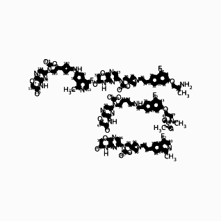 CC(N)COc1cc(F)c2c(c1)CC(CCN1CC3(C1)CN(c1cnc4c(n1)NC(=O)CO4)C(=O)O3)C2.CN(CCOc1cc(F)c2c(c1)CC(CNCCC1CN(c3cnc4c(n3)NC(=O)CO4)C(=O)O1)C2)S(C)(=O)=O.Cc1ncc(F)c2c1CC(CCN1CC3(C1)CN(c1cnc4c(n1)NC(=O)CO4)C(=O)O3)C2.Cc1ncc(F)c2c1CC(NC1CC(C3CN(c4cnc5c(n4)NC(=O)CO5)C(=O)O3)C1)C2